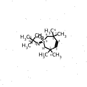 CC1(C)C#CC(C)(C)CS(=O)(=NC(C)(C)C)C1